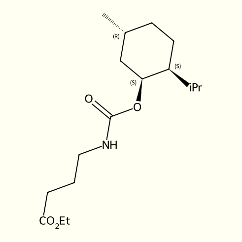 CCOC(=O)CCCNC(=O)O[C@H]1C[C@H](C)CC[C@H]1C(C)C